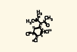 CC(=O)C(c1ccc(Cl)c(Cl)c1)N(C)C.Cl